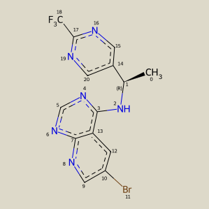 C[C@@H](Nc1ncnc2ncc(Br)cc12)c1cnc(C(F)(F)F)nc1